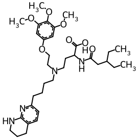 CCC(CC)CC(=O)NC(CCN(CCCCc1ccc2c(n1)NCCC2)CCOc1cc(OC)c(OC)c(OC)c1)C(=O)O